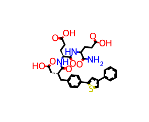 NC(=O)C(CCC(=O)O)NC(=O)[C@H](CCC(=O)O)NC(=O)[C@@H](CC(=O)O)Cc1ccc(-c2cc(-c3ccccc3)cs2)cc1